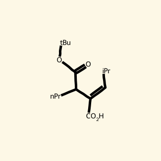 CCCC(C(=O)OC(C)(C)C)/C(=C\C(C)C)C(=O)O